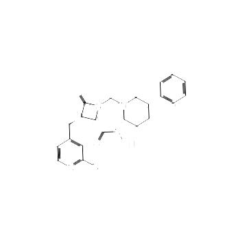 CNC(=O)[C@@H]1[C@@H](Cc2ccnc(N)c2)C(=O)N1CN1CCC[C@@H](c2ccccc2)C1